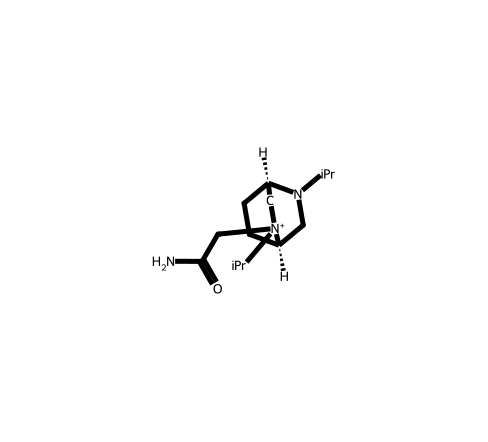 CC(C)N1C[C@H]2CC[C@@H]1C[N+]2(CC(N)=O)C(C)C